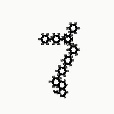 C=Nc1c(/C=C\C)ccc2c(-c3ccc(-c4ccc(-c5cccc(-c6nc(-c7ccccc7)nc(-c7ccc(-c8ccccc8)cc7)n6)c5)cc4)cc3)cccc12